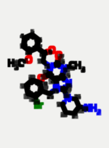 COc1ccccc1C(=O)Cn1c(=O)c2c(nc(N3CCCC(N)C3)n2Cc2ccccc2Br)n(C)c1=O